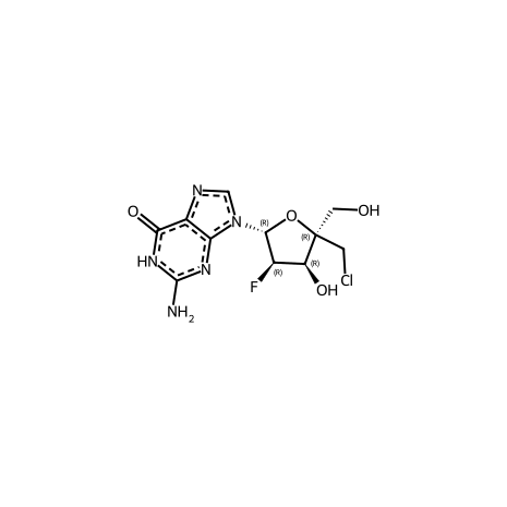 Nc1nc2c(ncn2[C@@H]2O[C@@](CO)(CCl)[C@@H](O)[C@H]2F)c(=O)[nH]1